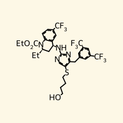 CCOC(=O)N1c2ccc(C(F)(F)F)cc2[C@@H](Nc2ncc(SCCCCO)c(Cc3cc(C(F)(F)F)cc(C(F)(F)F)c3)n2)C[C@H]1CC